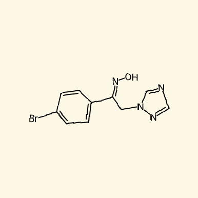 ON=C(Cn1cncn1)c1ccc(Br)cc1